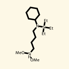 CC[Si](CC)(CC)N(CCCC[SiH](OC)OC)C1CCCCC1